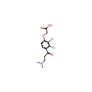 CN(C)CCC(=O)c1ccc(OCC(=O)O)c(Cl)c1Cl